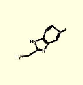 NCc1nc2cc(F)ccc2[nH]1